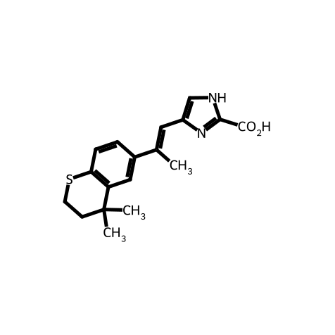 C/C(=C\c1c[nH]c(C(=O)O)n1)c1ccc2c(c1)C(C)(C)CCS2